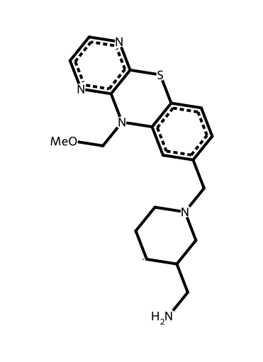 COCN1c2cc(CN3CC[CH][C](CN)C3)ccc2Sc2nccnc21